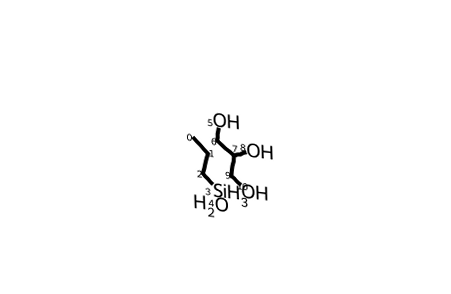 CCC[SiH3].O.OCC(O)CO